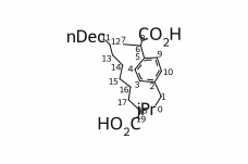 CC(C)Cc1ccc(C(C)C(=O)O)cc1.CCCCCCCCCCCCCCCCCC(=O)O